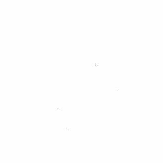 O=c1[nH]c2ccc(-c3cncc(NCc4cccs4)c3)cc2[nH]1